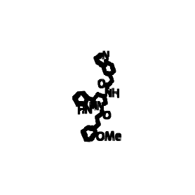 COc1ccccc1CCC(=O)NCC(Cc1c[nH]c2ccccc12)NC(=O)Cc1ccc2ncccc2c1